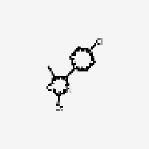 CCc1nc(-c2ccc(Cl)cc2)c(C)o1